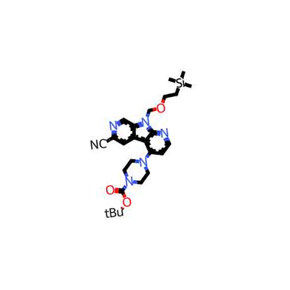 CC(C)(C)OC(=O)N1CCN(c2ccnc3c2c2cc(C#N)ncc2n3COCC[Si](C)(C)C)CC1